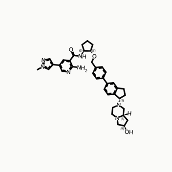 Cn1cc(-c2cnc(N)c(C(=O)N[C@H]3CCC[C@@H]3OCc3ccc(-c4ccc5c(c4)CC[C@@H]5N4CCN5C[C@H](O)C[C@H]5C4)cc3)c2)cn1